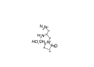 Cl.Cl.NCC(N)CN1CCCC1=O